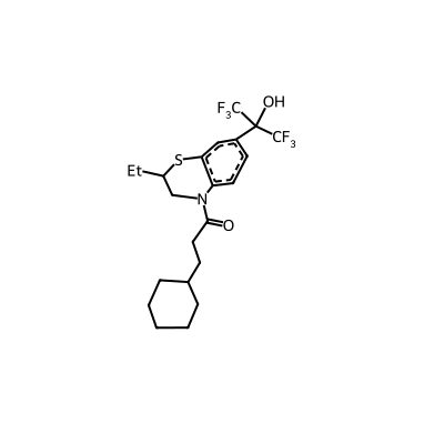 CCC1CN(C(=O)CCC2CCCCC2)c2ccc(C(O)(C(F)(F)F)C(F)(F)F)cc2S1